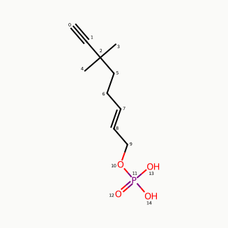 C#CC(C)(C)CCC=CCOP(=O)(O)O